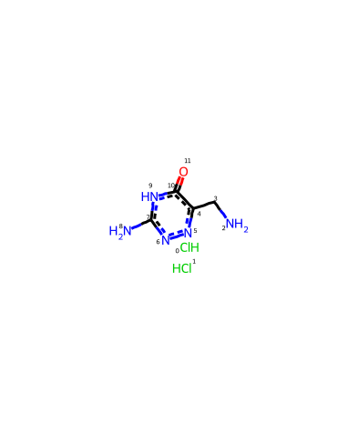 Cl.Cl.NCc1nnc(N)[nH]c1=O